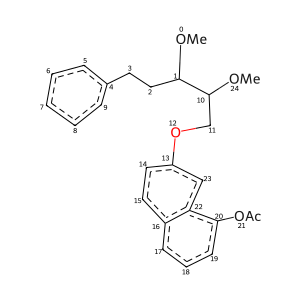 COC(CCc1ccccc1)C(COc1ccc2cccc(OC(C)=O)c2c1)OC